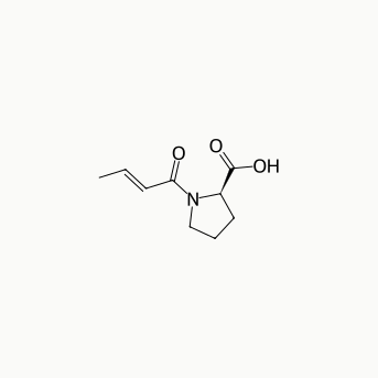 CC=CC(=O)N1CCC[C@@H]1C(=O)O